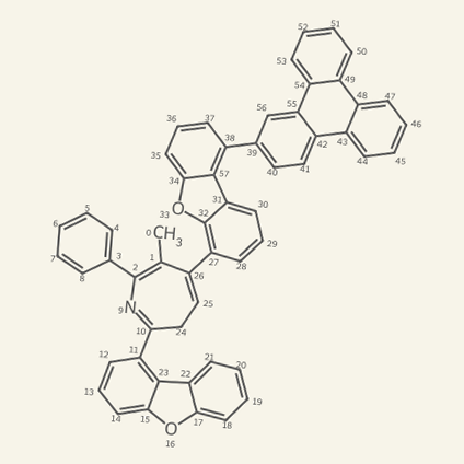 CC1=C(c2ccccc2)N=C(c2cccc3oc4ccccc4c23)CC=C1c1cccc2c1oc1cccc(-c3ccc4c5ccccc5c5ccccc5c4c3)c12